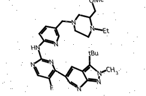 CCN1CCN(Cc2ccc(Nc3ncc(F)c(-c4cnc5nn(C)c(C(C)(C)C)c5c4)n3)nc2)CC1COC